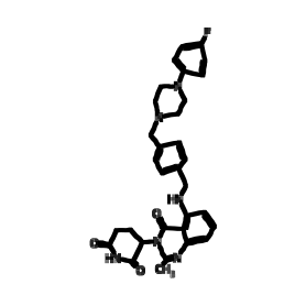 Cc1nc2cccc(NCc3ccc(CN4CCN(c5ccc(F)cc5)CC4)cc3)c2c(=O)n1C1CCC(=O)NC1=O